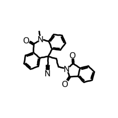 CN1C(=O)c2ccccc2C(C#N)(CCN2C(=O)c3ccccc3C2=O)c2ccccc21